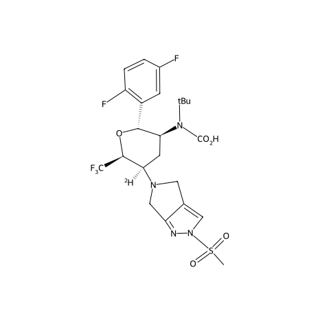 [2H][C@@]1(N2Cc3cn(S(C)(=O)=O)nc3C2)C[C@H](N(C(=O)O)C(C)(C)C)[C@@H](c2cc(F)ccc2F)O[C@@H]1C(F)(F)F